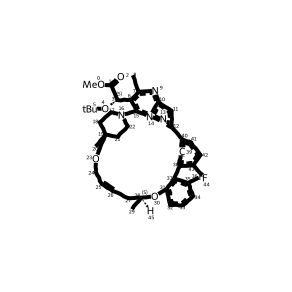 COC(=O)[C@@H](OC(C)(C)C)c1c(C)nc2cc3nn2c1N1CCC(C)(CC1)OCC=CC[C@H](C)Oc1cccc(F)c1-c1cc-3ccc1F